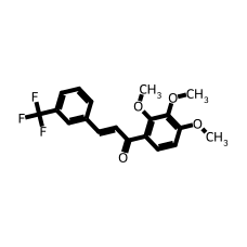 COc1ccc(C(=O)C=Cc2cccc(C(F)(F)F)c2)c(OC)c1OC